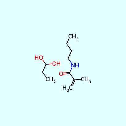 C=C(C)C(=O)NCCCC.[CH2]CC(O)O